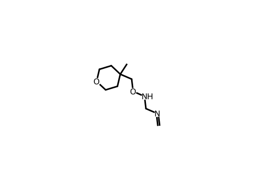 C=NCNOCC1(C)CCOCC1